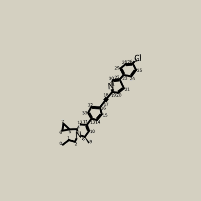 CCCN(CC1CC1)[C@H](C)C=C(C)c1ccc(C#Cc2ccc(-c3ccc(Cl)cc3)cn2)cc1